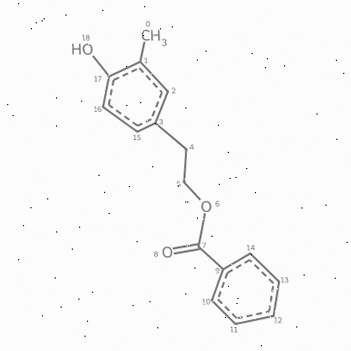 Cc1cc(CCOC(=O)c2ccccc2)ccc1O